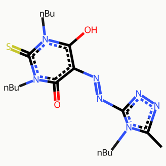 CCCCn1c(C)nnc1N=Nc1c(O)n(CCCC)c(=S)n(CCCC)c1=O